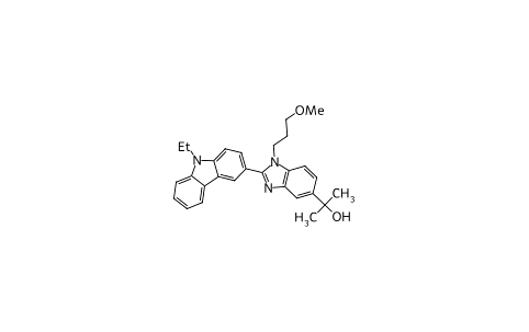 CCn1c2ccccc2c2cc(-c3nc4cc(C(C)(C)O)ccc4n3CCCOC)ccc21